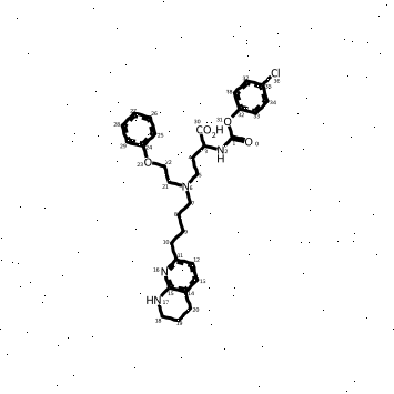 O=C(NC(CCN(CCCCc1ccc2c(n1)NCCC2)CCOc1ccccc1)C(=O)O)Oc1ccc(Cl)cc1